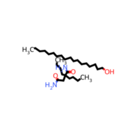 CCCCC(CCCC)(CC(N)=O)C(N)=O.CCCCCCCCCCCCCCCCCCO